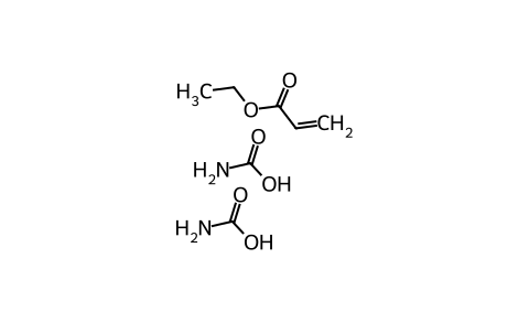 C=CC(=O)OCC.NC(=O)O.NC(=O)O